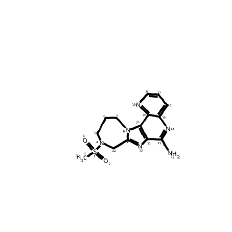 CS(=O)(=O)N1CCCn2c(nc3c(N)nc4cccnc4c32)C1